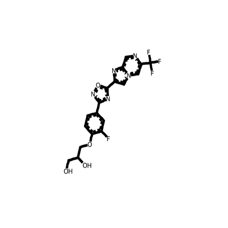 OCC(O)COc1ccc(-c2noc(-c3cn4cc(C(F)(F)F)ncc4n3)n2)cc1F